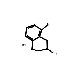 Cl.NC1CCc2cccc(Br)c2C1